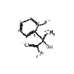 CC(C)C(=O)C(C)(O)c1ccccc1F